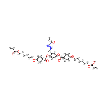 C=CC(=O)N/N=C/c1cc(OC(=O)c2ccc(OCCCCCCOC(=O)C=C)cc2)ccc1OC(=O)c1ccc(OCCCCCCOC(=O)C=C)cc1